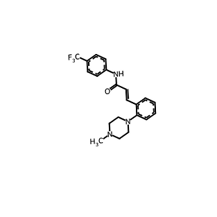 CN1CCN(c2ccccc2C=CC(=O)Nc2ccc(C(F)(F)F)cc2)CC1